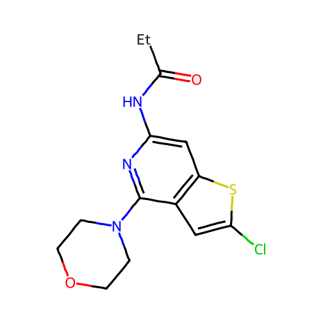 CCC(=O)Nc1cc2sc(Cl)cc2c(N2CCOCC2)n1